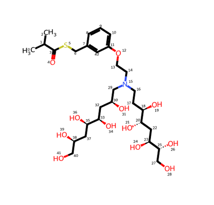 CC(C)C(=O)SCc1cccc(OCCN(CC[C@@H](O)[C@@H](O)C[C@H](O)[C@H](O)CO)C[C@@H](O)C[C@@H](O)[C@H](O)C[C@H](O)CO)c1